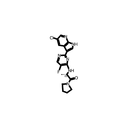 C[C@H](Nc1nc(-c2c[nH]c3ncc(Cl)cc23)ncc1F)C(=O)N1CCCC1